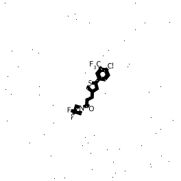 O=C(CCC1CSC(c2ccc(Cl)c(C(F)(F)F)c2)C1)N1CC(F)(F)C1